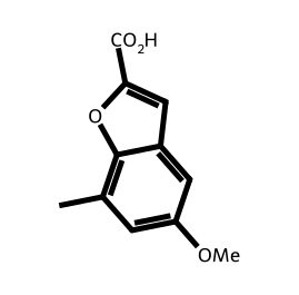 COc1cc(C)c2oc(C(=O)O)cc2c1